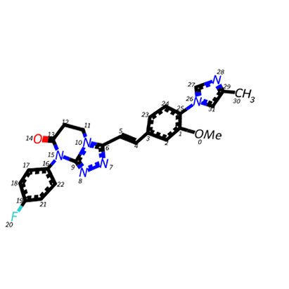 COc1cc(/C=C/c2nnc3n2CCC(=O)N3c2ccc(F)cc2)ccc1-n1cnc(C)c1